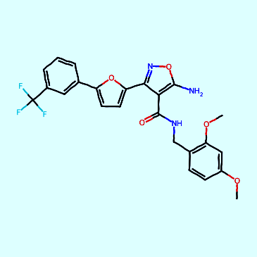 COc1ccc(CNC(=O)c2c(-c3ccc(-c4cccc(C(F)(F)F)c4)o3)noc2N)c(OC)c1